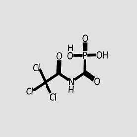 O=C(NC(=O)P(=O)(O)O)C(Cl)(Cl)Cl